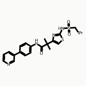 CC(C)CS(=O)(=O)Nc1nc(C(C)(C)C(=O)Nc2ccc(-c3cccnc3)cc2)cs1